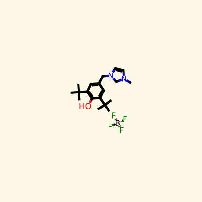 CN1C=CN(Cc2cc(C(C)(C)C)c(O)c(C(C)(C)C)c2)C1.F[B-](F)(F)F